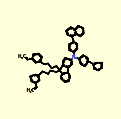 C=Cc1cccc(CCCCC2(CCCCc3cccc(C=C)c3)c3ccccc3-c3cc(N(c4ccc(-c5ccccc5)cc4)c4ccc(-c5cccc6ccccc56)cc4)ccc32)c1